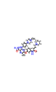 CC(C)c1nc(C(N)=O)c(Nc2ccc(N3CCN(C)CC3)cc2)nc1Oc1cccc(NC(=O)/C=C/CN2CCCCC2)c1